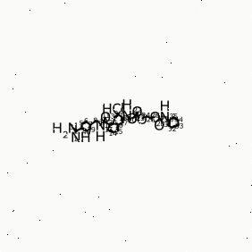 Cl.N=C(N)c1ccc(CNC(=O)c2cccc3cc(NOC(=O)OCCOC(=O)Nc4ccccc4)ccc23)cc1